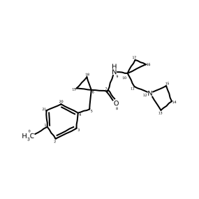 Cc1ccc(CC2(C(=O)NC3(CN4CCC4)CC3)CC2)cc1